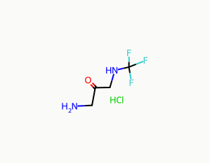 Cl.NCC(=O)CNC(F)(F)F